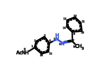 CC(=O)Nc1ccc(NN=C(C)c2ccccc2)cc1